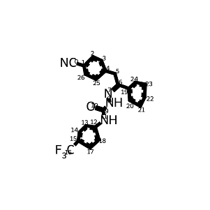 N#Cc1ccc(CC(=NNC(=O)Nc2ccc(C(F)(F)F)cc2)c2ccccc2)cc1